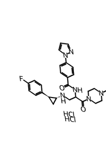 CN1CCN(C(=O)C(CN[C@@H]2C[C@H]2c2ccc(F)cc2)NC(=O)c2ccc(-n3cccn3)cc2)CC1.Cl.Cl